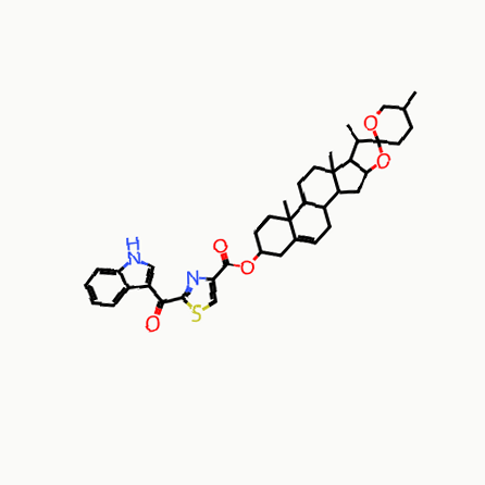 CC1CCC2(OC1)OC1CC3C4CC=C5CC(OC(=O)c6csc(C(=O)c7c[nH]c8ccccc78)n6)CCC5(C)C4CCC3(C)C1C2C